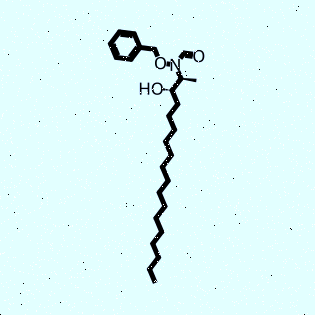 CCCCCCCCCCCCCCC[C@H](O)[C@H](C)N(C=O)OCc1ccccc1